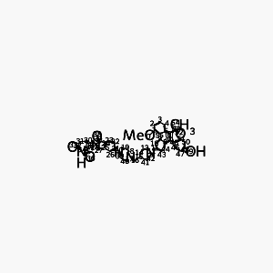 COc1cccc([C@@H]2[C@H](c3ccc(N4CCC(CN5CCN(c6ccc7c(c6)CN([C@H]6CCC(=O)NC6=O)C7=O)CC5)CC4)cc3)c3ccc(O)cc3O[C@H]2C)c1